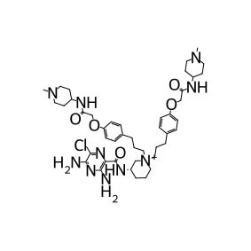 CN1CCC(NC(=O)COc2ccc(CCC[N+]3(CCCc4ccc(OCC(=O)NC5CCN(C)CC5)cc4)CCC[C@H](NC(=O)c4nc(Cl)c(N)nc4N)C3)cc2)CC1